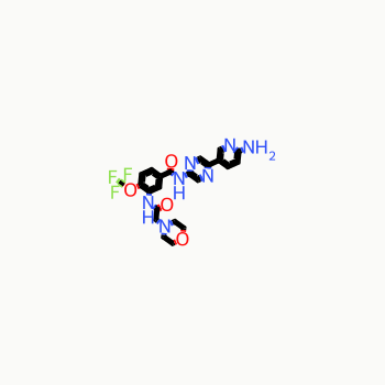 Nc1ccc(-c2cnc(NC(=O)c3ccc(OC(F)(F)F)c(NC(=O)CN4CCOCC4)c3)cn2)cn1